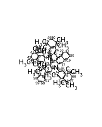 Cc1cc2c(cc1N1c3cc4c(cc3B3c5c1cc1ccccc1c5-c1cc5c(cc1N3c1ccc3c(c1)C(C)(C)CCC3(C)C)C(C)(C)CCC5(C)C)C(C)(C)c1ccccc1-4)C(C)(C)CCC2(C)C